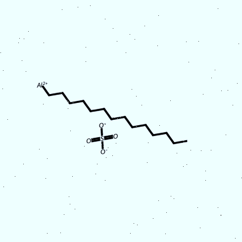 CCCCCCCCCCCCC[CH2][Al+2].O=S(=O)([O-])[O-]